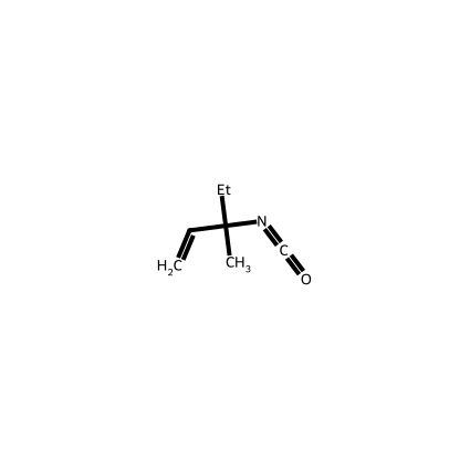 C=CC(C)(CC)N=C=O